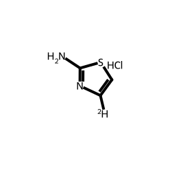 Cl.[2H]c1csc(N)n1